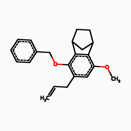 C=CCc1cc(OC)c2c(c1OCc1ccccc1)C1CCC2C1